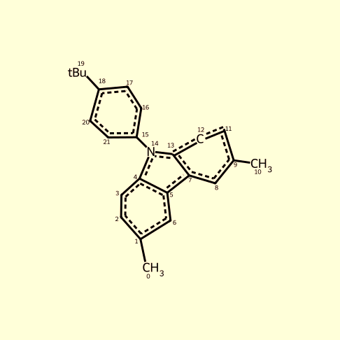 Cc1ccc2c(c1)c1cc(C)ccc1n2-c1ccc(C(C)(C)C)cc1